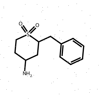 NC1CCS(=O)(=O)C(Cc2ccccc2)C1